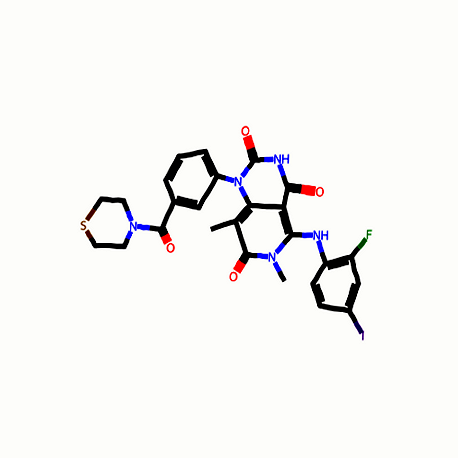 Cc1c(=O)n(C)c(Nc2ccc(I)cc2F)c2c(=O)[nH]c(=O)n(-c3cccc(C(=O)N4CCSCC4)c3)c12